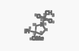 COC1(C(C)C)CCN(S(C)(=O)=O)C1